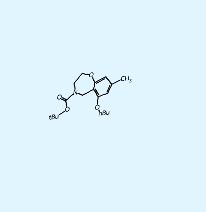 CCCCOc1cc(C)cc2c1CN(C(=O)OC(C)(C)C)CCO2